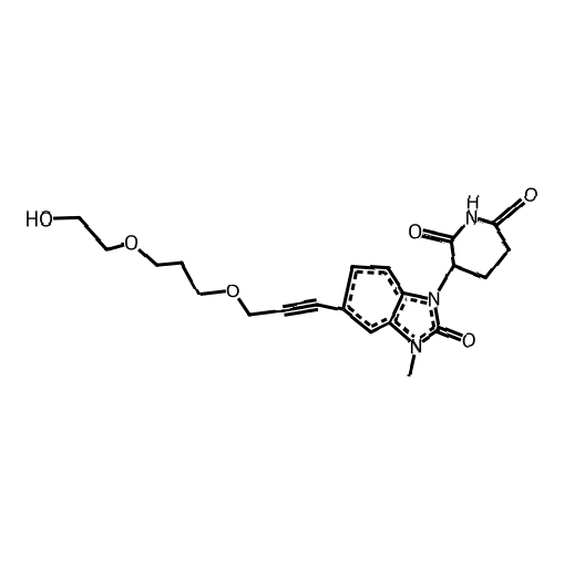 Cn1c(=O)n(C2CCC(=O)NC2=O)c2ccc(C#CCOCCCOCCO)cc21